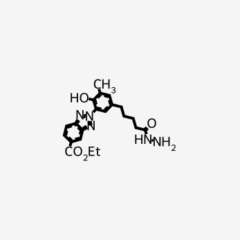 CCOC(=O)c1ccc2nn(-c3cc(CCCCC(=O)NN)cc(C)c3O)nc2c1